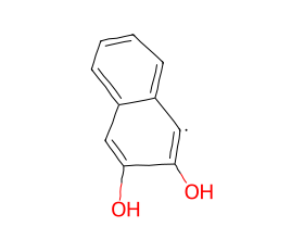 Oc1[c]c2ccccc2cc1O